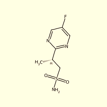 C[C@@H](CS(N)(=O)=O)c1ncc(F)cn1